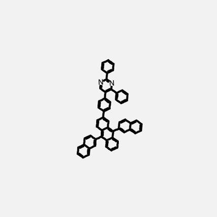 c1ccc(-c2ncc(-c3ccc(-c4ccc5c(-c6ccc7ccccc7c6)c6ccccc6c(-c6ccc7ccccc7c6)c5c4)cc3)c(-c3ccccc3)n2)cc1